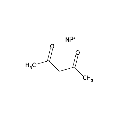 CC(=O)CC(C)=O.[Ni+2]